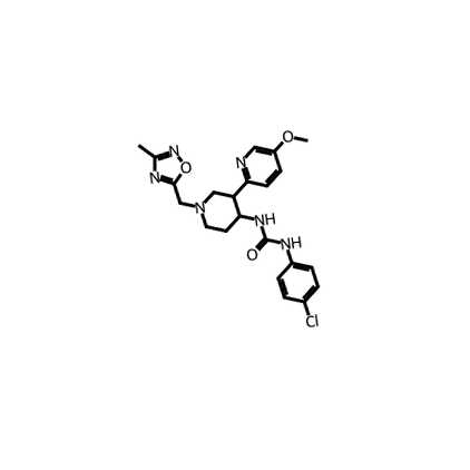 COc1ccc(C2CN(Cc3nc(C)no3)CCC2NC(=O)Nc2ccc(Cl)cc2)nc1